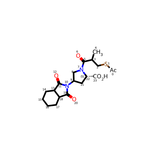 CC(=O)SCC(C)C(=O)N1CC(N2C(=O)C3CCCCC3C2=O)C[C@H]1C(=O)O